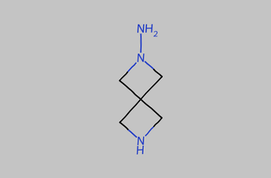 NN1CC2(CNC2)C1